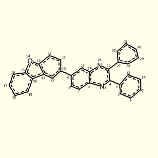 c1ccc(-c2nc3ccc(-c4ccc5oc6ccccc6c5c4)cc3nc2-c2ccccc2)cc1